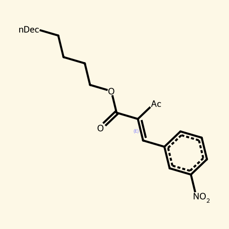 CCCCCCCCCCCCCCOC(=O)/C(=C/c1cccc([N+](=O)[O-])c1)C(C)=O